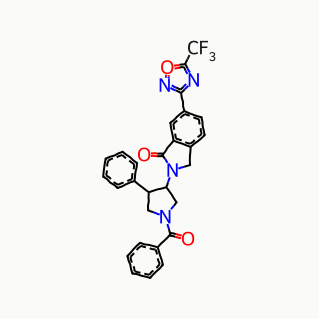 O=C(c1ccccc1)N1CC(c2ccccc2)C(N2Cc3ccc(-c4noc(C(F)(F)F)n4)cc3C2=O)C1